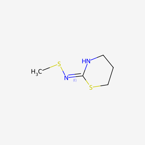 CS/N=C1\NCCCS1